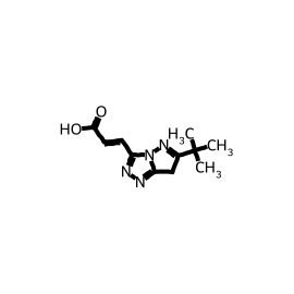 CC(C)(C)C1=Nn2c(/C=C/C(=O)O)nnc2C1